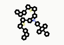 c1ccc(-c2c3ccccc3c(-c3ccc(-n4c5ccc(-c6cccc7c6sc6c(-c8ccc9ccc%10ccccc%10c9c8)cccc67)cc5c5cc(-c6cccc7c6sc6c(-c8ccc9ccc%10ccccc%10c9c8)cccc67)ccc54)cc3)c3ccccc23)cc1